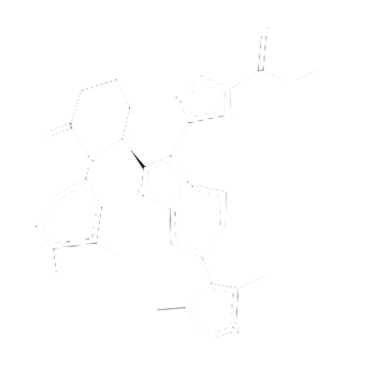 COC(=O)c1cnc(-c2c([C@@H]3CCCC(=O)N3c3ccc(F)c(F)c3)nc3cc(-c4c(C)noc4C)ccn23)s1